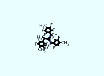 C/C(=C1/C(=C(\C)c2c(F)c(F)c(C)c(F)c2F)C1C(C)c1c(F)c(F)c(C)c(F)c1F)c1c(F)c(F)c(C)c(F)c1F